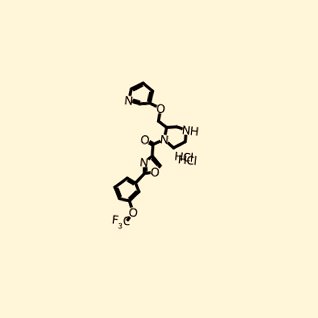 Cl.Cl.O=C(c1coc(-c2cccc(OC(F)(F)F)c2)n1)N1CCNCC1COc1cccnc1